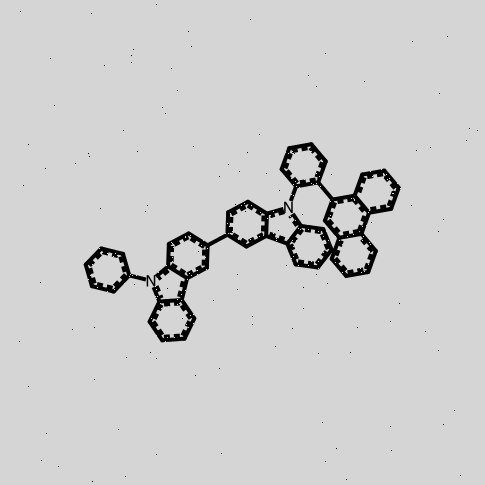 c1ccc(-n2c3ccccc3c3cc(-c4ccc5c(c4)c4ccccc4n5-c4ccccc4-c4cc5ccccc5c5ccccc45)ccc32)cc1